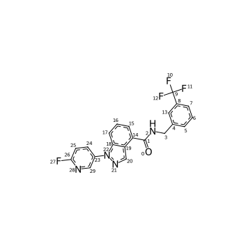 O=C(NCc1cccc(C(F)(F)F)c1)c1cccc2c1cnn2-c1ccc(F)nc1